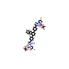 C[C@H]1C[C@@H](c2ncc(-c3ccc(-c4ccc(-c5ccc(-c6cnc([C@@H]7C[C@H](C)CN7C(=O)OC(C)(C)C)[nH]6)cc5)c5c4CC4(CCCC4)C5)cc3)[nH]2)N(C(=O)OC(C)(C)C)C1